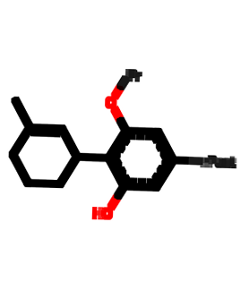 CCCCCc1cc(O)c(C2C=C(C)CCC2)c(OC(C)C)c1